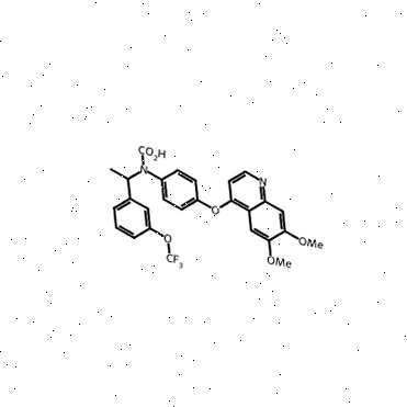 COc1cc2nccc(Oc3ccc(N(C(=O)O)C(C)c4cccc(OC(F)(F)F)c4)cc3)c2cc1OC